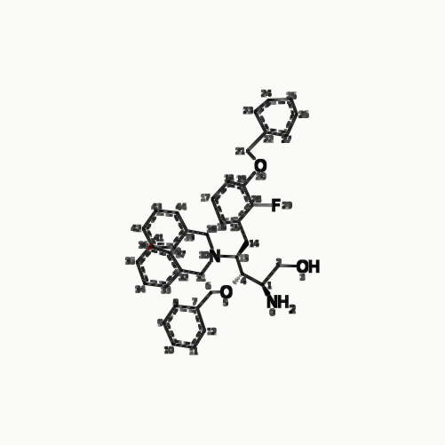 N[C@H](CO)[C@H](OCc1ccccc1)[C@H](Cc1cccc(OCc2ccccc2)c1F)N(Cc1ccccc1)Cc1ccccc1